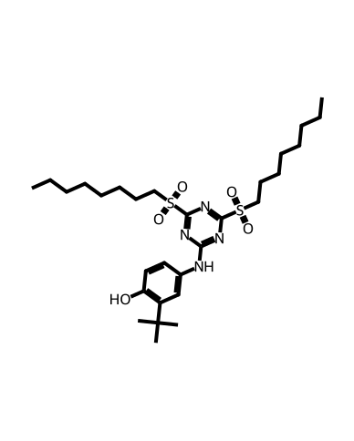 CCCCCCCCS(=O)(=O)c1nc(Nc2ccc(O)c(C(C)(C)C)c2)nc(S(=O)(=O)CCCCCCCC)n1